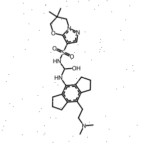 CN(C)CCc1c2c(c(NC(O)NS(=O)(=O)c3cnn4c3OCC(C)(C)C4)c3c1CCC3)CCC2